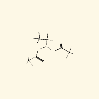 O=C(OI(OC(=O)C(F)(F)F)C(F)(F)C(F)(F)F)C(F)(F)F